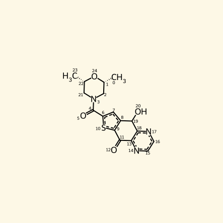 C[C@@H]1CN(C(=O)c2cc3c(s2)C(=O)c2nccnc2C3O)C[C@H](C)O1